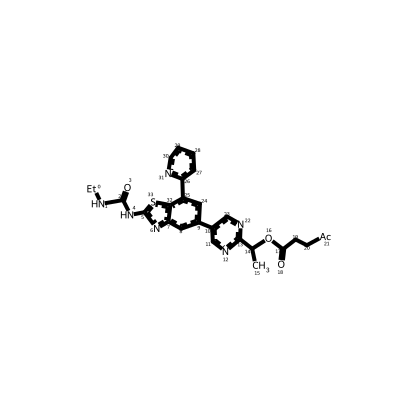 CCNC(=O)Nc1nc2cc(-c3cnc(C(C)OC(=O)CCC(C)=O)nc3)cc(-c3ccccn3)c2s1